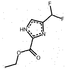 CCOC(=O)c1nc(C(F)F)c[nH]1